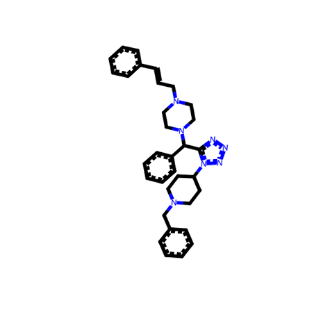 C(=Cc1ccccc1)CN1CCN(C(c2ccccc2)c2nnnn2C2CCN(Cc3ccccc3)CC2)CC1